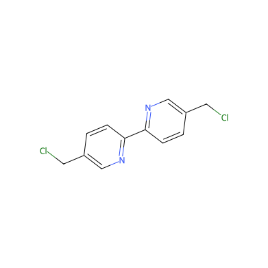 ClCc1ccc(-c2ccc(CCl)cn2)nc1